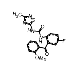 COc1ccccc1C(=O)c1cc(F)ccc1NC(=O)Nc1nc(C)ns1